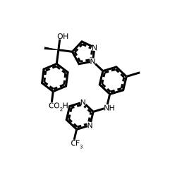 Cc1cc(Nc2nccc(C(F)(F)F)n2)cc(-n2cc([C@@](C)(O)c3ccc(C(=O)O)cc3)cn2)c1